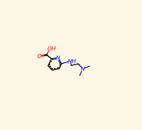 CN(C)CCNc1cccc(C(=O)O)n1